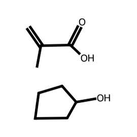 C=C(C)C(=O)O.OC1CCCC1